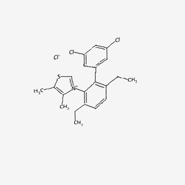 CCc1ccc(CC)c(-[n+]2csc(C)c2C)c1-c1cc(Cl)cc(Cl)c1.[Cl-]